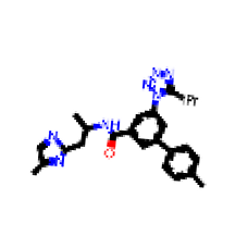 CC1=NC(CC(C)NC(=O)c2cc(-c3ccc(C)cc3)cc(-n3nnnc3C(C)C)c2)N=C1